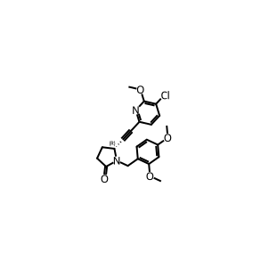 COc1ccc(CN2C(=O)CC[C@@H]2C#Cc2ccc(Cl)c(OC)n2)c(OC)c1